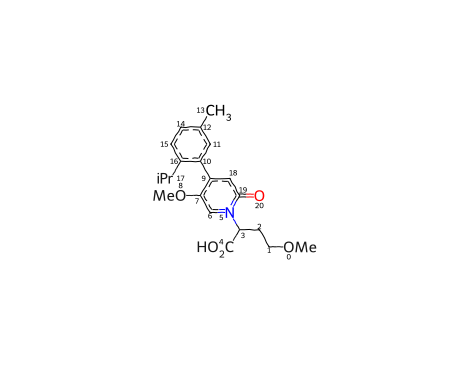 COCCC(C(=O)O)n1cc(OC)c(-c2cc(C)ccc2C(C)C)cc1=O